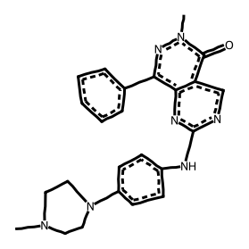 CN1CCN(c2ccc(Nc3ncc4c(=O)n(C)nc(-c5ccccc5)c4n3)cc2)CC1